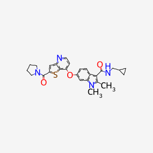 Cc1c(C(=O)NCC2CC2)c2ccc(Oc3ccnc4cc(C(=O)N5CCCC5)sc34)cc2n1C